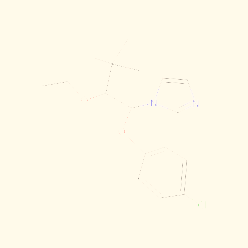 CCOC(C(Oc1ccc(Cl)cc1)n1ccnc1)C(C)(C)C